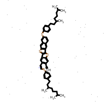 C#Cc1cc2sc3c4cc5ccc(Sc6ccc(CCC(C)CCCC(C)C)cc6)cc5cc4sc3c2cc1/C=C\Sc1ccc(CCC(C)CCCC(C)C)cc1